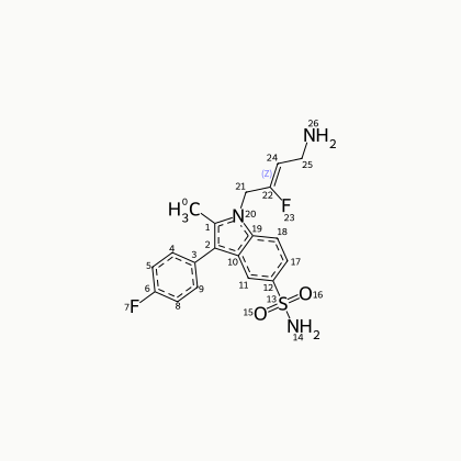 Cc1c(-c2ccc(F)cc2)c2cc(S(N)(=O)=O)ccc2n1C/C(F)=C/CN